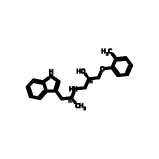 Cc1ccccc1OC[C@H](O)CN[C@@H](C)Cc1c[nH]c2ccccc12